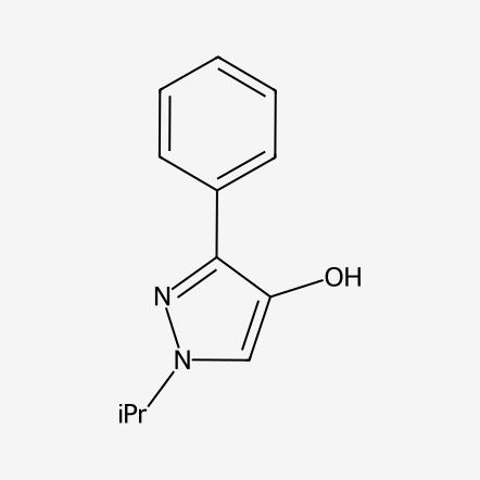 CC(C)n1cc(O)c(-c2ccccc2)n1